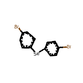 Brc1ccc([Se]c2ccc(Br)cc2)cc1